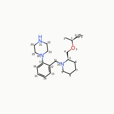 CC(C)[C@H](C)OC[C@H]1CCCCN1Cc1ccccc1N1CCNCC1